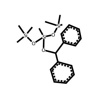 C[Si](C)(C)O[Si](C)(OC(c1ccccc1)c1ccccc1)O[Si](C)(C)C